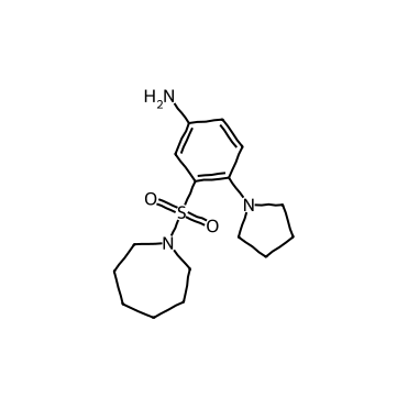 Nc1ccc(N2CCCC2)c(S(=O)(=O)N2CCCCCC2)c1